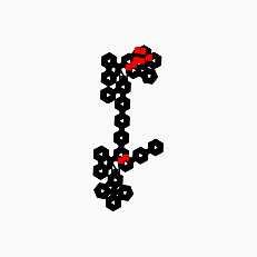 c1ccc(-c2ccc(-c3ccc(N(c4ccc5c(c4)-c4ccccc4C5(c4ccccc4)c4ccccc4)c4c(-c5cccc(-c6ccc(-c7ccc(-c8ccc(-c9ccc(N(c%10ccc%11c(c%10)-c%10ccccc%10C%11(c%10ccccc%10)c%10ccccc%10)c%10c(-c%11ccc(-c%12ccccc%12)cc%11)c%11ccccc%11c%11ccccc%10%11)cc9-c9ccccc9)cc8)cc7)cc6)c5)c5ccccc5c5ccccc45)cc3)cc2)cc1